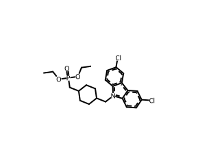 CCOP(=O)(CC1CCC(Cn2c3ccc(Cl)cc3c3cc(Cl)ccc32)CC1)OCC